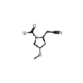 COC1CC(CC#N)N(C(=O)O)C1